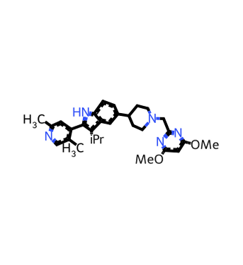 COc1cc(OC)nc(CN2CCC(c3ccc4[nH]c(-c5cc(C)ncc5C)c(C(C)C)c4c3)CC2)n1